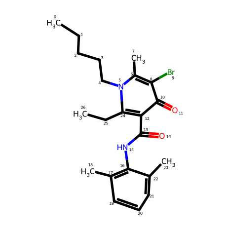 CCCCCn1c(C)c(Br)c(=O)c(C(=O)Nc2c(C)cccc2C)c1CC